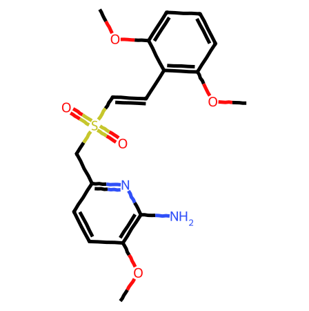 COc1ccc(CS(=O)(=O)C=Cc2c(OC)cccc2OC)nc1N